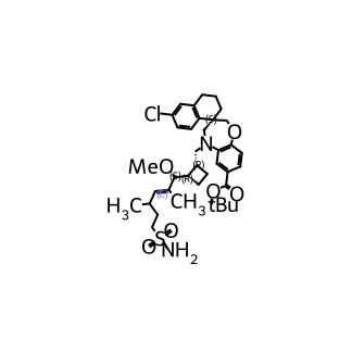 CO[C@H](/C(C)=C/C(C)CCS(N)(=O)=O)[C@@H]1CC[C@H]1CN1C[C@@]2(CCCc3cc(Cl)ccc32)COc2ccc(C(=O)OC(C)(C)C)cc21